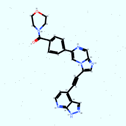 O=C(c1ccc(-c2cn3c(C#Cc4ccnc5[nH]ncc45)cnc3cn2)cc1)N1CCOCC1